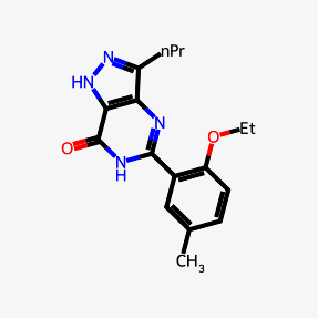 CCCc1n[nH]c2c(=O)[nH]c(-c3cc(C)ccc3OCC)nc12